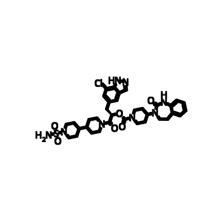 NS(=O)(=O)N1CCC(C2CCN(C(=O)[C@@H](Cc3cc(Cl)c4[nH]ncc4c3)OC(=O)N3CCC(N4CCc5ccccc5NC4=O)CC3)CC2)CC1